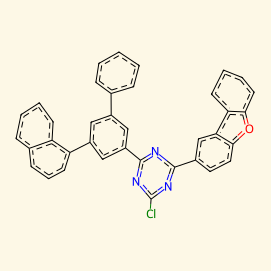 Clc1nc(-c2cc(-c3ccccc3)cc(-c3cccc4ccccc34)c2)nc(-c2ccc3oc4ccccc4c3c2)n1